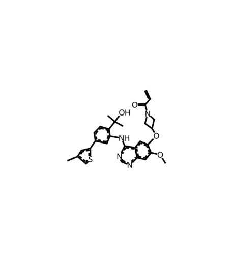 C=CC(=O)N1CC(Oc2cc3c(Nc4cc(-c5cc(C)cs5)ccc4C(C)(C)O)ncnc3cc2OC)C1